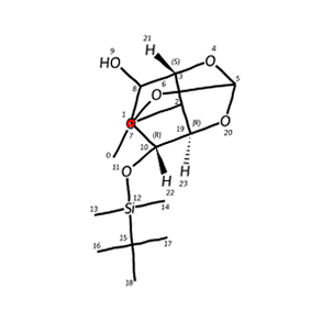 COC1[C@H]2OC3OC(C2O)[C@@H](O[Si](C)(C)C(C)(C)C)[C@@H]1O3